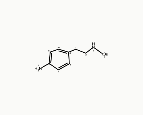 CC(C)(C)NCCc1ccc(N)cc1